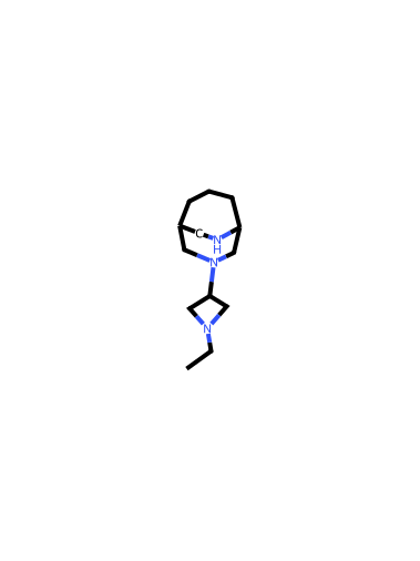 CCN1CC(N2CC3CCCC(C2)NC3)C1